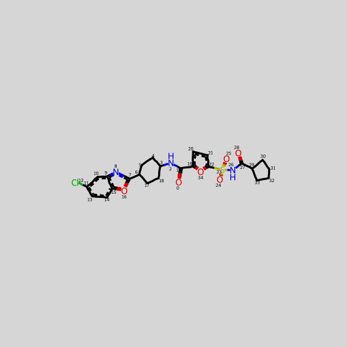 O=C(NC1CCC(c2nc3cc(Cl)ccc3o2)CC1)c1ccc(S(=O)(=O)NC(=O)C2CCCC2)o1